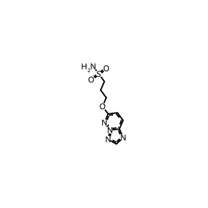 NS(=O)(=O)CCCOc1ccc2ncnn2n1